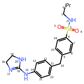 CC(C)CNS(=O)(=O)c1ccc(Cc2ccc(NC3=NCCN3)cc2)cc1